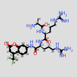 C[C@H](N)C(=O)N[C@@H](CCCNC(=N)N)C(=O)N[C@@H](CCCNC(=N)N)C(=O)Nc1ccc2c(C(F)(F)F)cc(=O)oc2c1